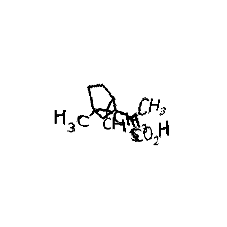 CC(C(=O)O)C1CC2(C)CCC1C2(C)C